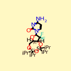 CC(C)[Si]1(C(C)C)OC[C@H]2OC(n3ccc(N)nc3=O)C(F)(F)[C@@H]2O[Si](C(C)C)(C(C)C)O1